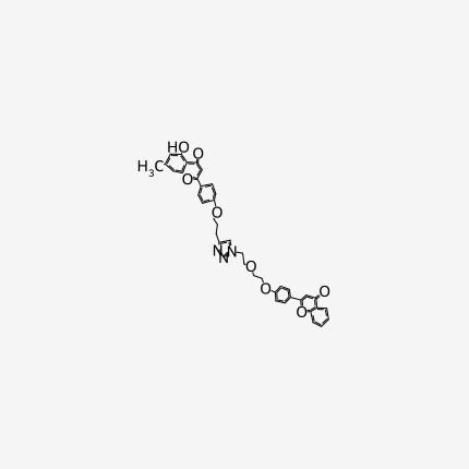 Cc1cc(O)c2c(=O)cc(-c3ccc(OCCCc4cn(CCOCCOc5ccc(-c6cc(=O)c7ccccc7o6)cc5)nn4)cc3)oc2c1